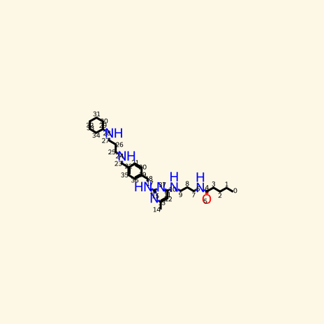 CCCCC(=O)NCCCNc1cc(C)nc(NCc2ccc(CNCCCNC3CCCCC3)cc2)n1